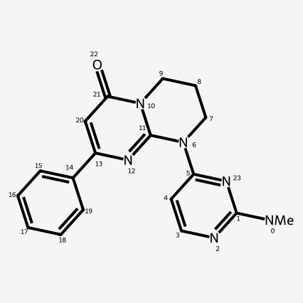 CNc1nccc(N2CCCn3c2nc(-c2ccccc2)cc3=O)n1